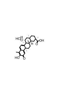 CC1=C(O)C(=O)C=C2C1=CC=C1[C@@]2(C)CC[C@@]2(C)[C@@H]3C[C@](C)(C(=O)O)CC[C@]3(C)CC[C@]12C.Cl.Cl